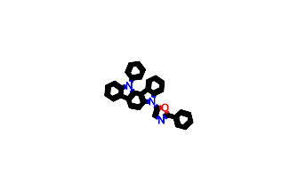 c1ccc(-c2ncc(-n3c4ccccc4c4c3ccc3c5ccccc5n(-c5ccccc5)c34)o2)cc1